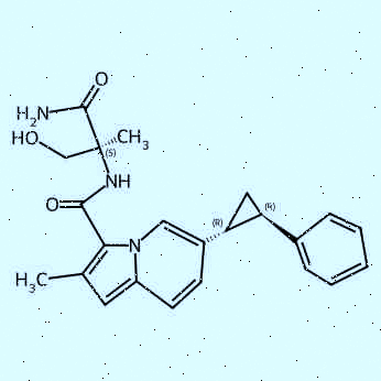 Cc1cc2ccc([C@@H]3C[C@H]3c3ccccc3)cn2c1C(=O)N[C@@](C)(CO)C(N)=O